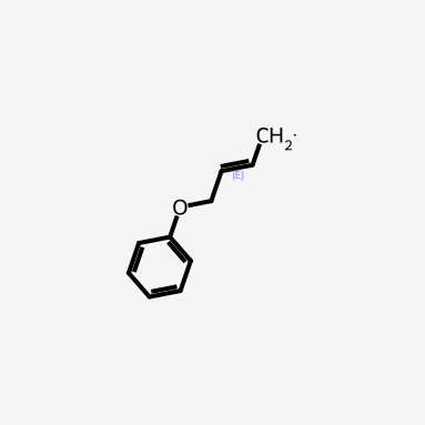 [CH2]/C=C/COc1ccccc1